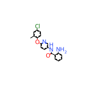 Cc1cc(Cl)ccc1Oc1ccc(NC(=O)c2ccccc2N)cn1